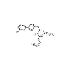 CCOC(=O)C[C@@H](Cc1ccc(-c2cccc(F)c2)cc1)NC(=O)CCC(=O)O